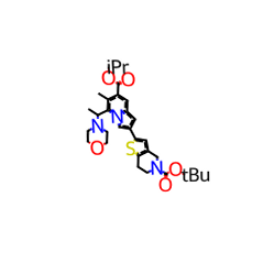 Cc1c(C(=O)OC(C)C)cc2cc(-c3cc4c(s3)CCN(C(=O)OC(C)(C)C)C4)cn2c1C(C)N1CCOCC1